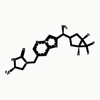 N[C@H](c1cn2ncc(CN3C[C@@H](C(F)(F)F)NC3=O)cc2n1)C1C[C@H]2[C@H](C1)C2(F)F